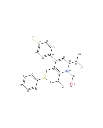 CC(C)C1=C(CSc2ccccc2)C(c2ccc(F)cc2)=CC(C(C)C)N1CO